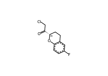 O=C(CCl)[C@@H]1CCc2cc(F)ccc2O1